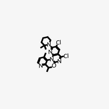 Cc1ccnc(C(C)C)c1-n1c(=O)nc(Cl)c2cc(Cl)c(N3CCCCC3(C)C)nc21